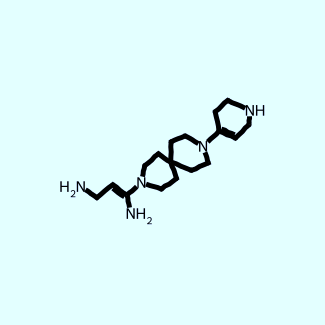 NC/C=C(\N)N1CCC2(CCN(C3=CCNCC3)CC2)CC1